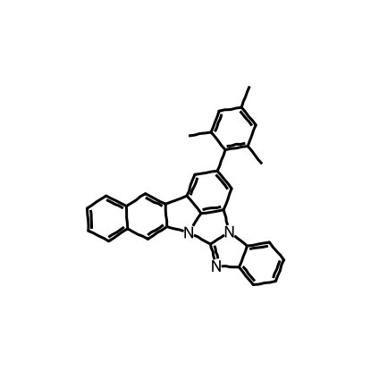 Cc1cc(C)c(-c2cc3c4cc5ccccc5cc4n4c3c(c2)n2c3ccccc3nc24)c(C)c1